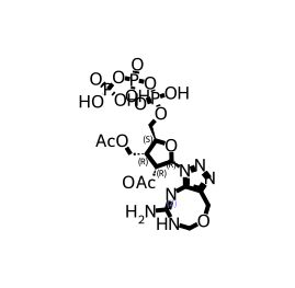 CC(=O)OC[C@H]1[C@@H](OC(C)=O)[C@H](n2nnc3c2/N=C(/N)NCOC3)O[C@@H]1COP(=O)(O)OP(=O)(O)OP(=O)(O)O